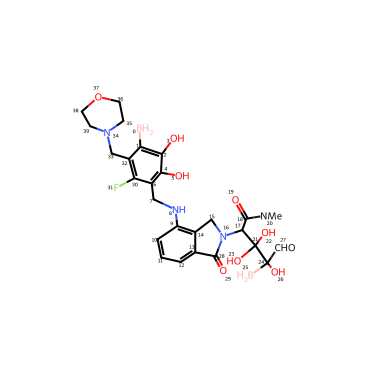 Bc1c(O)c(O)c(CNc2cccc3c2CN(C(C(=O)NC)C(O)(O)C(B)(O)C=O)C3=O)c(F)c1CN1CCOCC1